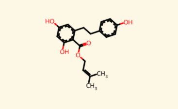 CC(C)=CCOC(=O)c1c(O)cc(O)cc1CCc1ccc(O)cc1